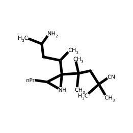 CCCC1NC1(C(C)CC(C)N)C(C)(C)CC(C)(C)C#N